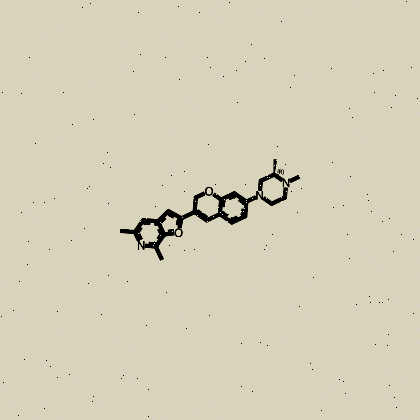 Cc1cc2cc(C3=Cc4ccc(N5CCN(C)[C@H](C)C5)cc4OC3)oc2c(C)n1